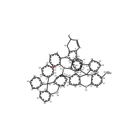 CC1C=Cc2c(n(-c3ccccc3N(c3ccc4c(c3)C(c3ccccc3)(c3ccccc3)c3ccccc3O4)c3ccc4c(c3)C3(c5cc(C(C)(C)C)ccc5Sc5ccc(C(C)(C)C)cc53)c3ccccc3-4)c3ccccc23)C1